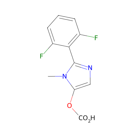 Cn1c(OC(=O)O)cnc1-c1c(F)cccc1F